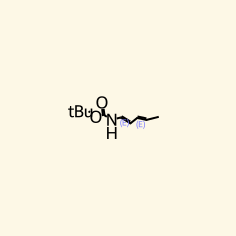 C/C=C/C=C/NC(=O)OC(C)(C)C